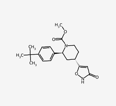 COC(=O)N1CC[C@H](c2cc(=O)[nH]o2)C[C@H]1c1ccc(C(C)(C)C)cc1